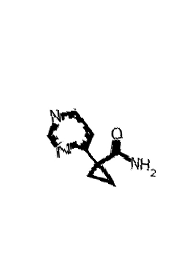 NC(=O)C1(c2c[c]ncn2)CC1